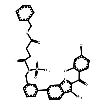 CS(=O)(=O)N(Cc1cccc(-c2ccc3c(N)c(C(=O)c4ccc(Cl)cc4Cl)oc3c2)c1)C(=O)CCC(=O)OCc1ccccc1